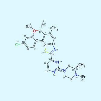 CC(=O)[C@@H](OC(C)(C)C)c1c(C)cc2nc(-c3ccnc(N4CCN(C(C)C)[C@H](C)C4)n3)sc2c1-c1ccc(Cl)cc1